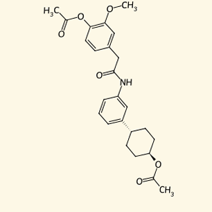 COc1cc(CC(=O)Nc2cccc([C@H]3CC[C@H](OC(C)=O)CC3)c2)ccc1OC(C)=O